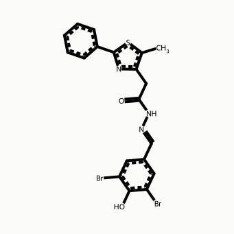 Cc1sc(-c2ccccc2)nc1CC(=O)NN=Cc1cc(Br)c(O)c(Br)c1